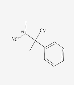 C[C@@H](C#N)C(C)(C#N)c1ccccc1